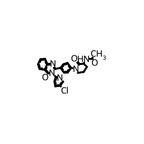 CC(=O)NC1CCCN(c2ccc(-c3nc4ccccc4c(=O)n3-c3ccc(Cl)cn3)cc2)C1=O